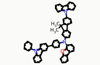 CC1(C)c2cc(N(c3ccc(-c4ccc5c(c4)c4ccccc4n5-c4ccccc4)cc3)c3cccc4c3oc3ccccc34)ccc2-c2ccc(-n3c4ccccc4c4ccccc43)cc21